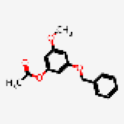 COc1cc(OCc2ccccc2)cc(OC(C)=O)c1